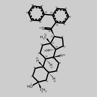 C[C@@]1(O)CC[C@H]2[C@@H](CC[C@@H]3[C@@H]2CC[C@]2(C)[C@@H](C(=O)c4ccccc4-c4ccccc4)CC[C@@H]32)C1